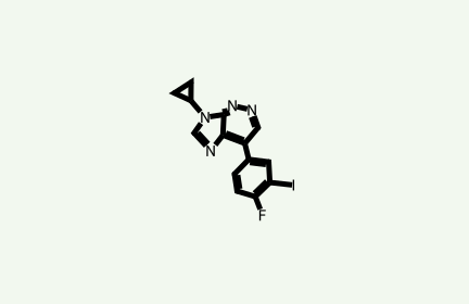 Fc1ccc(-c2cnnc3c2ncn3C2CC2)cc1I